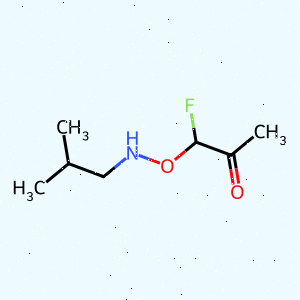 CC(=O)C(F)ONCC(C)C